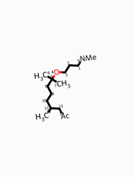 CNCCCOC(C)(C)CCCC(C)CC(C)=O